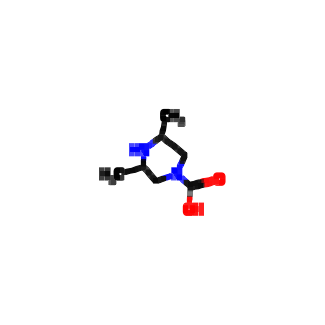 CC1CN(C(=O)O)CC(C)N1